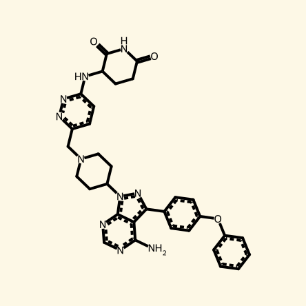 Nc1ncnc2c1c(-c1ccc(Oc3ccccc3)cc1)nn2C1CCN(Cc2ccc(NC3CCC(=O)NC3=O)nn2)CC1